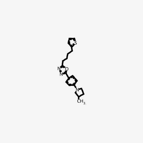 CC1CCN(c2ccc(-c3nnc(CCCCc4cccs4)o3)cc2)C1